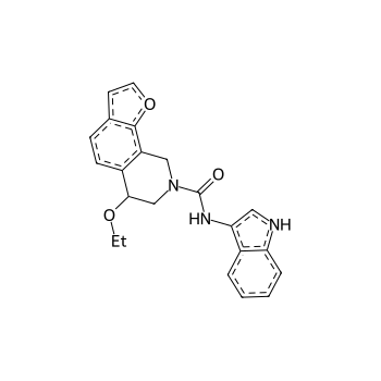 CCOC1CN(C(=O)Nc2c[nH]c3ccccc23)Cc2c1ccc1ccoc21